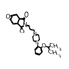 CC(C)Oc1ccccc1N1CCN(CCCN2C(=O)C3CC4OC4CC3C2=O)CC1